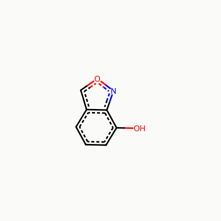 Oc1cccc2conc12